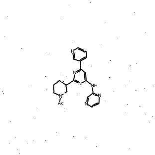 CC(=O)N1CCCC(c2nc(Nc3cnccn3)cc(-c3cccnc3)n2)C1